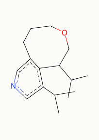 CC(C)c1cncc2c1C(C(C)C)COCCC2